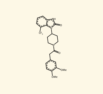 COc1ccc(CC(=O)N2CCC(n3c(=O)[nH]c4cccc(C(F)(F)F)c43)CC2)cc1OC